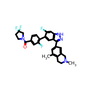 Cc1cc(-c2n[nH]c3cc(F)c(-c4ccc(C(=O)N5CCC(F)(F)C5)cc4F)cc23)cc2c1CCN(C)C2